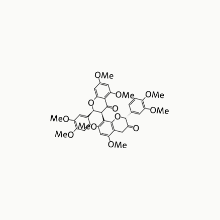 COc1cc(OC)c2c(c1)O[C@H](c1ccc(OC)c(OC)c1)[C@H](c1c(OC)cc(OC)c3c1O[C@H](c1ccc(OC)c(OC)c1)C(=O)C3)C2=O